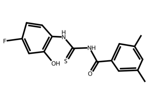 Cc1cc(C)cc(C(=O)NC(=S)Nc2ccc(F)cc2O)c1